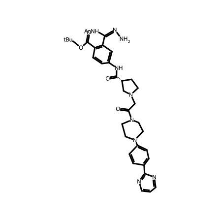 CC(=O)N/C(=N/N)c1cc(NC(=O)[C@@H]2CCN(CC(=O)N3CCN(c4ccc(-c5ncccn5)cc4)CC3)C2)ccc1C(=O)OC(C)(C)C